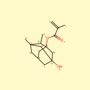 C=C(C)C(=O)OC12CC3CC(O)(CC(C)(C3)C1C)C2